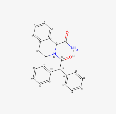 NC(=O)C1c2cc[c]cc2CCN1C(=O)C(c1ccccc1)c1ccccc1